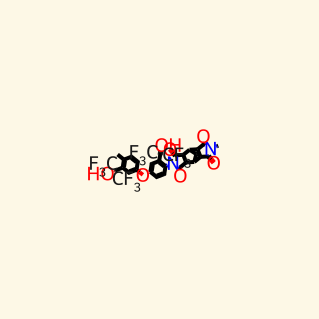 Cc1ccc(Oc2ccc(N3C(=O)C4C5CC(C6C(=O)N(C)C(=O)C56)C4C3=O)c(C(O)(C(F)(F)F)C(F)(F)F)c2)cc1C(O)(C(F)(F)F)C(F)(F)F